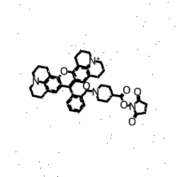 O=C(ON1C(=O)CCC1=O)C1CCN(C(=O)c2ccccc2C2=c3cc4c5c(c3Oc3c2cc2c6c3CCCN6CCC2)CCC[N+]=5CCC4)CC1